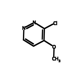 COc1ccnnc1Cl